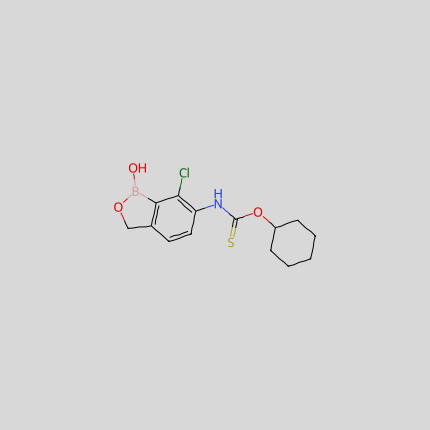 OB1OCc2ccc(NC(=S)OC3CCCCC3)c(Cl)c21